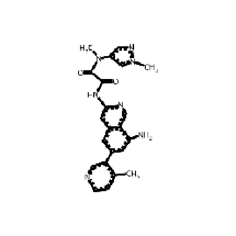 Cc1ccncc1-c1cc(N)c2cnc(NC(=O)C(=O)N(C)c3cnn(C)c3)cc2c1